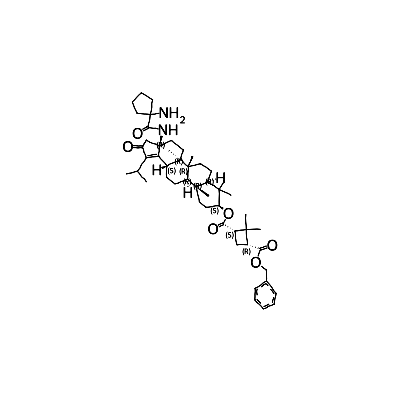 CC(C)C1=C2[C@H]3CC[C@@H]4[C@@]5(C)CC[C@H](OC(=O)[C@H]6C[C@@H](C(=O)OCc7ccccc7)C6(C)C)C(C)(C)[C@@H]5CC[C@@]4(C)[C@]3(C)CC[C@@]2(NC(=O)C2(N)CCCC2)CC1=O